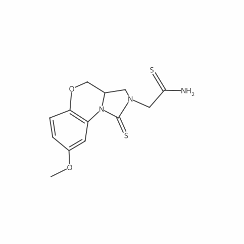 COc1ccc2c(c1)N1C(=S)N(CC(N)=S)CC1CO2